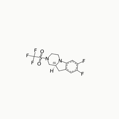 O=S(=O)(N1CCN2c3cc(F)c(F)cc3C[C@H]2C1)C(F)(F)F